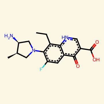 CCc1c(N2C[C@@H](C)[C@@H](N)C2)c(F)cc2c(=O)c(C(=O)O)c[nH]c12